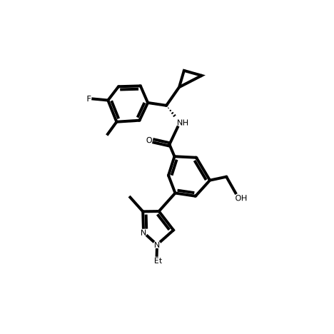 CCn1cc(-c2cc(CO)cc(C(=O)N[C@H](c3ccc(F)c(C)c3)C3CC3)c2)c(C)n1